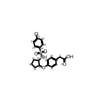 O=C(O)Cc1ccc(OC2CCCC2NS(=O)(=O)c2ccc(Cl)cc2)cc1